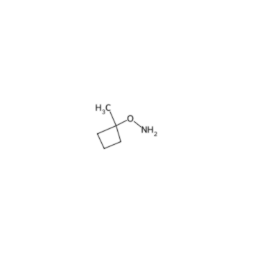 CC1(ON)CCC1